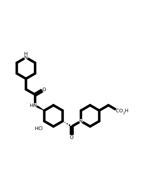 Cl.O=C(O)CC1CCN(C(=O)[C@H]2CC[C@H](NC(=O)CC3CCNCC3)CC2)CC1